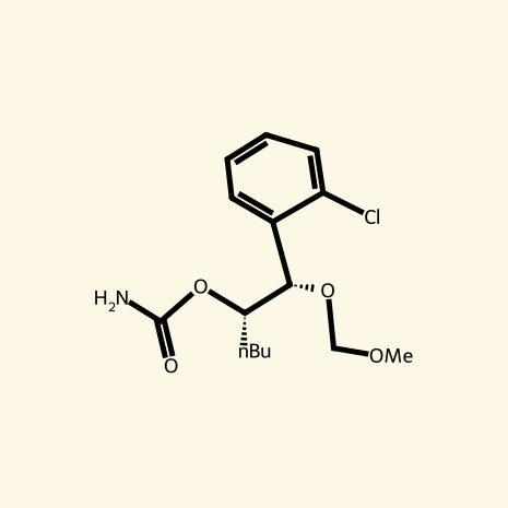 CCCC[C@H](OC(N)=O)[C@@H](OCOC)c1ccccc1Cl